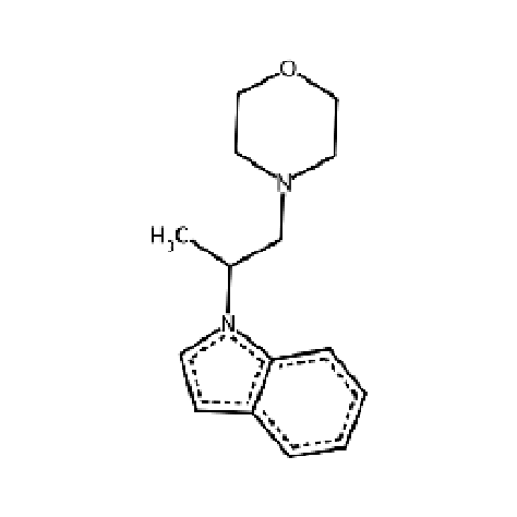 CC(CN1CCOCC1)n1ccc2ccccc21